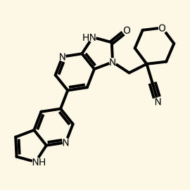 N#CC1(Cn2c(=O)[nH]c3ncc(-c4cnc5[nH]ccc5c4)cc32)CCOCC1